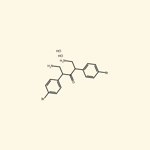 Cl.Cl.NCC(C(=O)C(CN)c1ccc(Br)cc1)c1ccc(Br)cc1